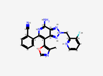 Cc1ncoc1-c1c(-c2ccccc2C#N)nc(N)c2nn(Cc3ncccc3F)nc12